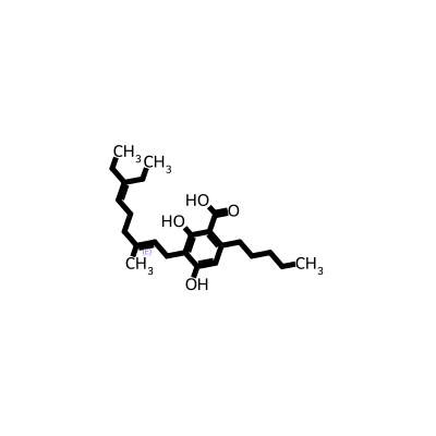 CCCCCc1cc(O)c(C/C=C(\C)CCC=C(CC)CC)c(O)c1C(=O)O